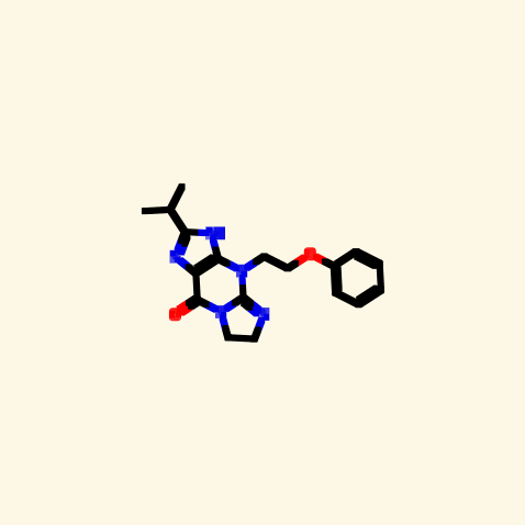 CC(C)c1nc2c([nH]1)N(CCOc1ccccc1)C1=NCCN1C2=O